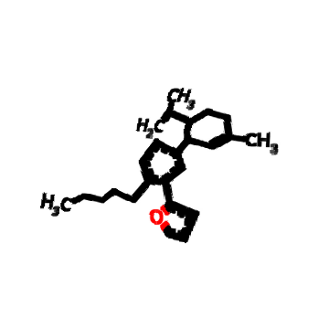 C=C(C)C1CCC(C)=CC1c1ccc(CCCCC)c(-c2ccco2)c1